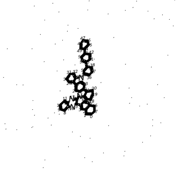 C1=Cc2cc(-c3nc4ccccc4nc3-n3c4ccccc4c4cc5c(cc43)c3ccccc3n5-c3cccc(-c4ccc(-c5ccccc5)cc4)c3)ccc2CC1